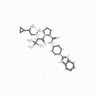 CC(C)(C)[C@@H](C(=O)N1CCC[C@H]1C(=O)N[C@H]1CC[C@H](c2nc3ccccc3o2)CC1)N(N)CC(N)C1CC1